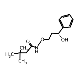 CC(C)(C)CC(=O)NOCC[C@@H](O)c1ccccc1